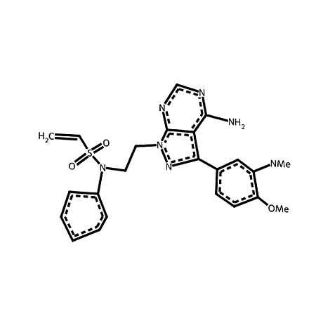 C=CS(=O)(=O)N(CCn1nc(-c2ccc(OC)c(NC)c2)c2c(N)ncnc21)c1ccccc1